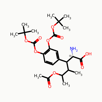 CC(=O)OC(C)C(C)C(c1ccc(OC(=O)OC(C)(C)C)c(OC(=O)OC(C)(C)C)c1)[C@H](N)C(=O)O